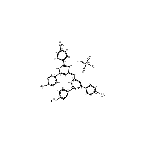 Cc1ccc(C2=CC(=Cc3cc(-c4ccc(C)cc4)[s+]c(-c4ccc(C)cc4)c3)C=C(c3ccc(C)cc3)S2)cc1.[O-][Cl+3]([O-])([O-])[O-]